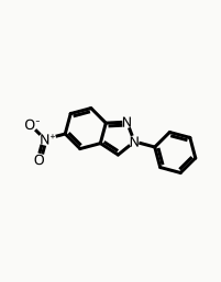 O=[N+]([O-])c1ccc2nn(-c3ccccc3)cc2c1